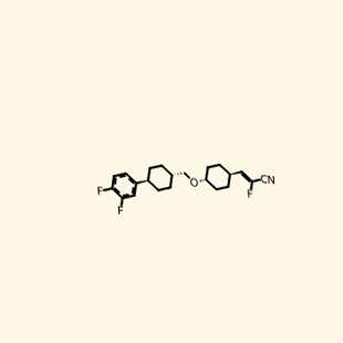 N#CC(F)=C[C@H]1CC[C@H](OC[C@H]2CC[C@H](c3ccc(F)c(F)c3)CC2)CC1